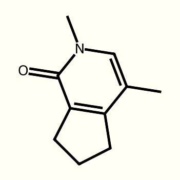 Cc1cn(C)c(=O)c2c1CCC2